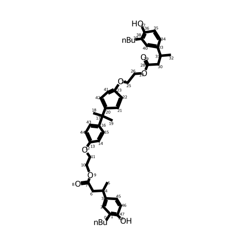 CCCCc1cc(C(C)CC(=O)OCCOc2ccc(C(C)(C)c3ccc(OCCOC(=O)CC(C)c4ccc(O)c(CCCC)c4)cc3)cc2)ccc1O